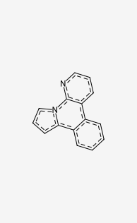 c1ccc2c(c1)c1cccnc1n1cccc21